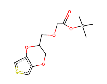 C[Si](C)(C)OC(=O)COCC1COc2cscc2O1